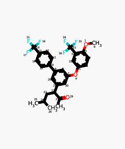 COc1ccc(Oc2cc(-c3ccc(C(F)(F)F)cc3)cc(C(CC(C)C)C(C)=O)c2)cc1C(F)(F)F